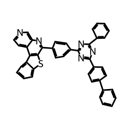 c1ccc(-c2ccc(-c3nc(-c4ccccc4)nc(-c4ccc(-c5nc6cnccc6c6c5sc5ccccc56)cc4)n3)cc2)cc1